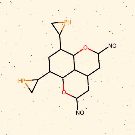 O=NC1CC2CC(N=O)OC3C(C4CP4)CC(C4CP4)C(O1)C23